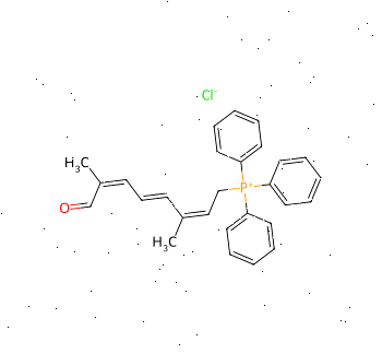 CC(C=O)=CC=CC(C)=CC[P+](c1ccccc1)(c1ccccc1)c1ccccc1.[Cl-]